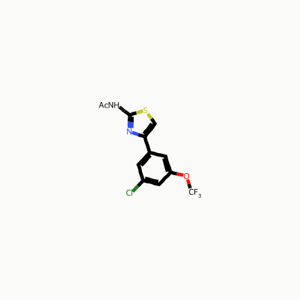 CC(=O)Nc1nc(-c2cc(Cl)cc(OC(F)(F)F)c2)cs1